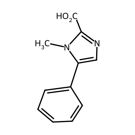 Cn1c(-c2ccccc2)cnc1C(=O)O